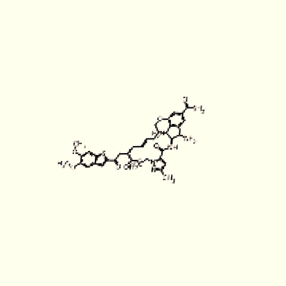 CCn1nc(C)cc1C(=O)NC1C(N)c2cc(C(N)=O)cc3c2C1(N)C(C/C=C/CC(CC(=O)c1cc2cc(OC)c(OC)cc2s1)C(=O)O)CO3